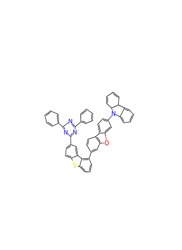 C1=CC2c3ccccc3N(c3ccc4c(c3)oc3cc(-c5cccc6sc7ccc(-c8nc(-c9ccccc9)nc(-c9ccccc9)n8)cc7c56)ccc34)C2C=C1